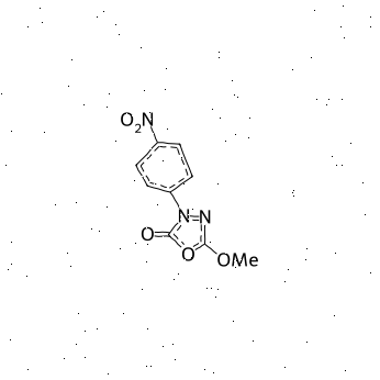 COc1nn(-c2ccc([N+](=O)[O-])cc2)c(=O)o1